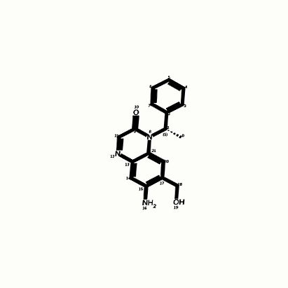 C[C@@H](c1ccccc1)n1c(=O)cnc2cc(N)c(CO)cc21